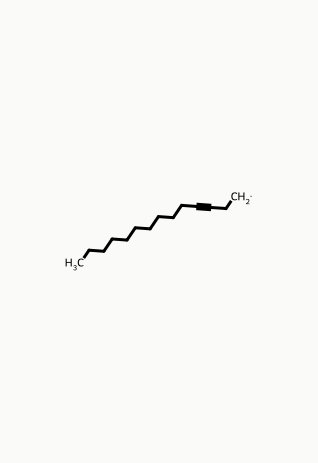 [CH2]CC#CCCCCCCCCCC